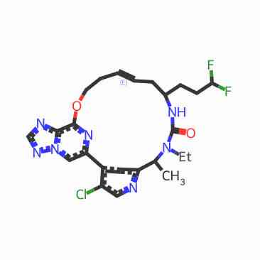 CCN1C(=O)NC(CCC(F)F)C/C=C/CCOc2nc(cn3ncnc23)-c2cc(ncc2Cl)C1C